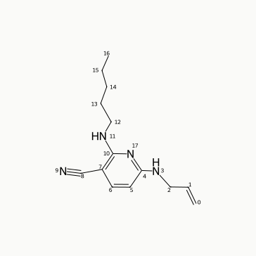 C=CCNc1ccc(C#N)c(NCCCCC)n1